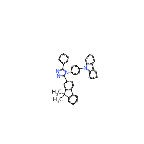 CC1(C)c2ccccc2-c2ccc(-c3nnc(-c4ccccc4)n3-c3ccc(-n4c5ccccc5c5ccccc54)cc3)cc21